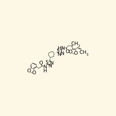 C=C(CC(=O)Nc1nnc([C@H]2CCC[C@H](c3nnc(NC(=O)Cc4cccc5c4OCO5)s3)C2)s1)C1=C(/C=C\C)OCO1